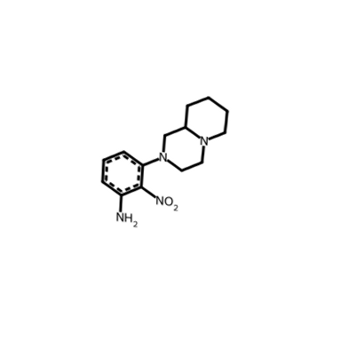 Nc1cccc(N2CCN3CCCCC3C2)c1[N+](=O)[O-]